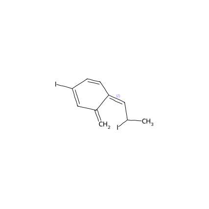 C=c1cc(I)cc/c1=C/C(C)I